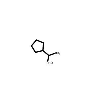 BC(C=O)C1CCCC1